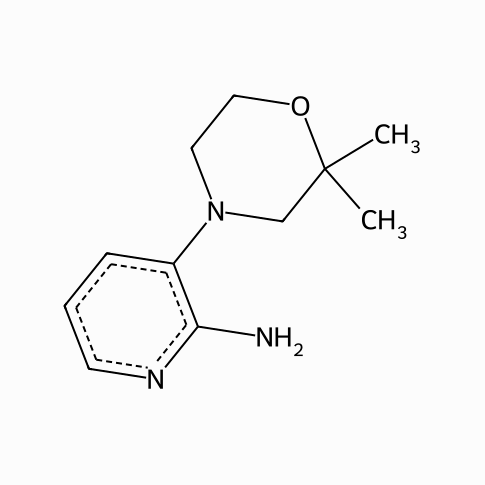 CC1(C)CN(c2cccnc2N)CCO1